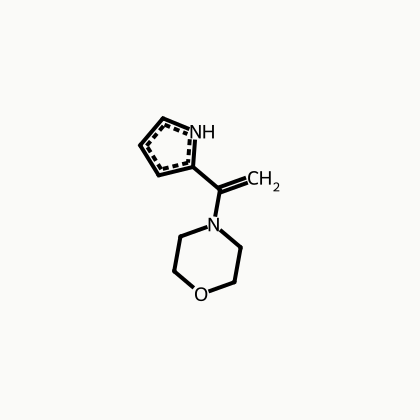 C=C(c1ccc[nH]1)N1CCOCC1